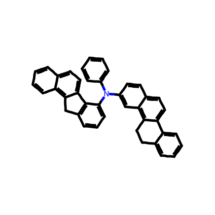 c1ccc(N(c2ccc3ccc4c(c3c2)CCc2ccccc2-4)c2cccc3c2-c2ccc4ccccc4c2C3)cc1